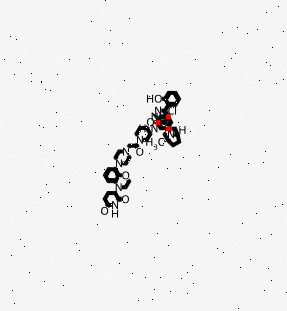 C[C@@]12CC[C@@H](CN(c3cc(-c4ccccc4O)nnc3N)C1)N2c1cc(Cl)cc(OC2CCN(C(=O)CN3CCN(c4cccc5c4OCCN5[C@@H]4CCC(=O)NC4=O)CC3)CC2)c1